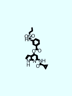 CCCS(=O)(=O)Nc1cccc(C(=O)Oc2cc(NC(=O)C3CC3)nc3[nH]ccc23)c1